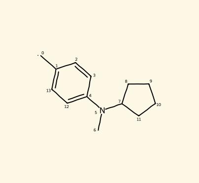 [CH2]c1ccc(N(C)C2CCCC2)cc1